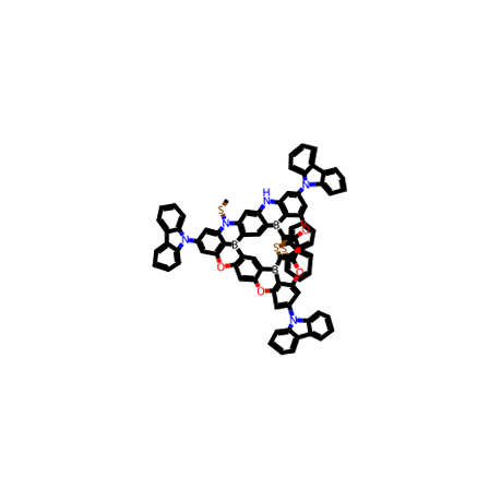 CSN1c2cc3c(cc2B2c4cc5c(cc4Oc4cc(-n6c7ccccc7c7ccccc76)cc1c42)Oc1cc(-n2c4ccccc4c4ccccc42)cc2c1B5c1sc4ccccc4c1O2)B1c2sc4ccccc4c2Oc2cc(-n4c5ccccc5c5ccccc54)cc(c21)N3